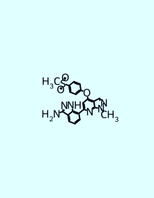 Cn1ncc2c(Oc3ccc(S(C)(=O)=O)cc3)cc(-c3cccc4c(N)n[nH]c34)nc21